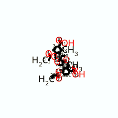 C=CC(=O)Oc1ccc(C(=O)O)c(C)c1[C@H]1CO[C@@H]2[C@H]1OC[C@H]2c1c(OC(=O)C=C)ccc(C(=O)O)c1C